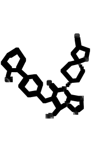 CCCc1c(Cc2ccc(-c3ccccc3C#N)cc2)c(=O)n([C@H]2CC[C@]3(CC2)CC(=O)CO3)c2ncnn12